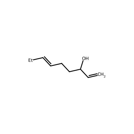 C=CC(O)CCC=CCC